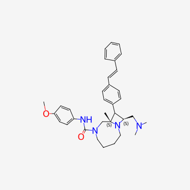 COc1ccc(NC(=O)N2CCCCN3[C@H](CN(C)C)C(c4ccc(C=Cc5ccccc5)cc4)[C@@]3(C)C2)cc1